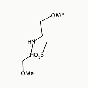 COCCNCCOC.CS(=O)(=O)O